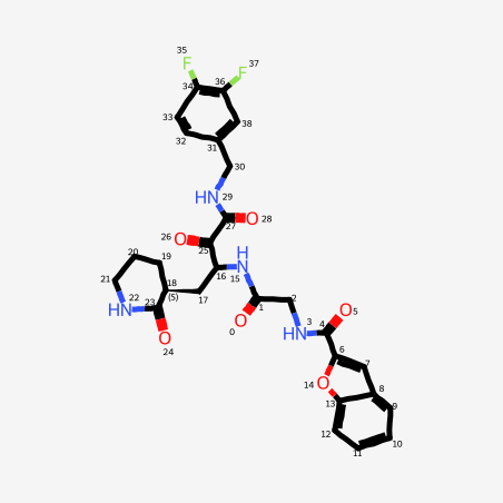 O=C(CNC(=O)c1cc2ccccc2o1)NC(C[C@@H]1CCCNC1=O)C(=O)C(=O)NCc1ccc(F)c(F)c1